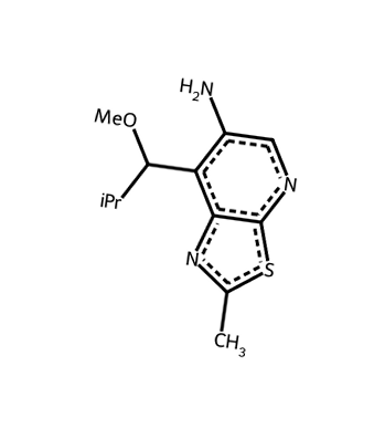 COC(c1c(N)cnc2sc(C)nc12)C(C)C